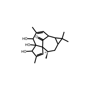 CC1=CC2C(=O)C3(C=C(C)C(O)C3(O)C1O)[C@H](C)CC1C2C1(C)C